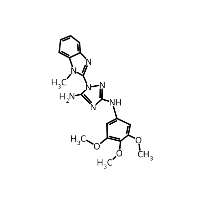 COc1cc(Nc2nc(N)n(-c3nc4ccccc4n3C)n2)cc(OC)c1OC